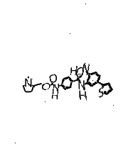 CN1CCCC1COC(=O)Nc1ccc(C(=O)Nc2cc(-c3cccs3)ccc2N)cc1